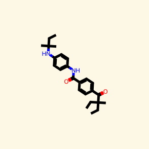 CCC(C)(C)Nc1ccc(NC(=O)c2ccc(C(=O)C(C)(CC)CC)cc2)cc1